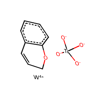 C1=Cc2ccccc2OC1.[O-][Ti]([O-])([O-])[O-].[W+4]